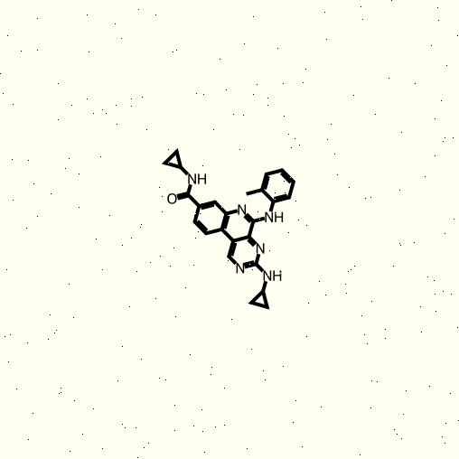 Cc1ccccc1Nc1nc2cc(C(=O)NC3CC3)ccc2c2cnc(NC3CC3)nc12